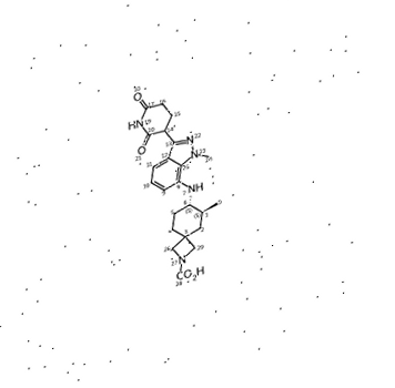 C[C@H]1CC2(CC[C@@H]1Nc1cccc3c(C4CCC(=O)NC4=O)nn(C)c13)CN(C(=O)O)C2